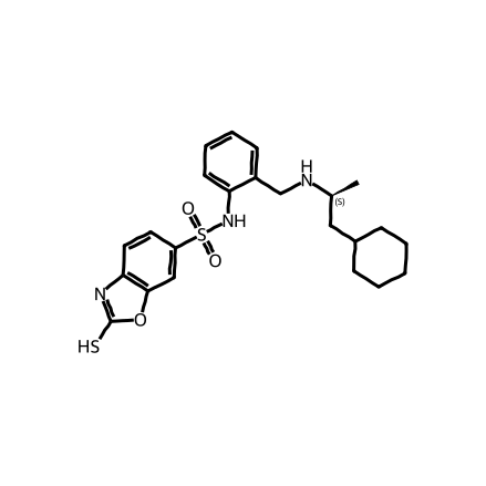 C[C@@H](CC1CCCCC1)NCc1ccccc1NS(=O)(=O)c1ccc2nc(S)oc2c1